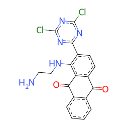 NCCNc1c(-c2nc(Cl)nc(Cl)n2)ccc2c1C(=O)c1ccccc1C2=O